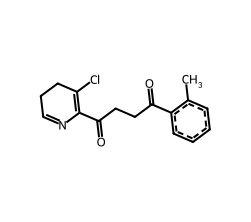 Cc1ccccc1C(=O)CCC(=O)C1=C(Cl)CCC=N1